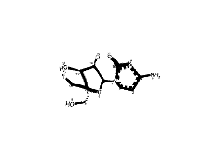 Nc1ccn(C2O[C@@](CO)(CF)[C@@H](O)[C@H]2Cl)c(=O)n1